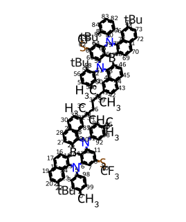 Cc1ccc(N2c3cc(SC(F)(F)F)cc4c3B(c3ccc5ccc(C(C)(C)C)cc5c32)c2ccc3ccc(C(C)(C)CCC(C)(C)c5ccc6ccc7c(c6c5)N(c5ccccc5C(C)(C)C)c5cc(SC(F)(F)F)cc6c5B7c5ccc7ccc(C(C)(C)C)cc7c5N6c5ccccc5C(C)(C)C)cc3c2N4c2ccc(C)cc2)cc1